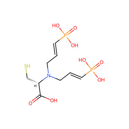 O=C(O)[C@H](CS)N(CC=CP(=O)(O)O)CC=CP(=O)(O)O